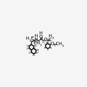 CCOc1ccccc1C(C)OC[C@H](O)CNC(C)(C)Cc1ccc2ccccc2c1